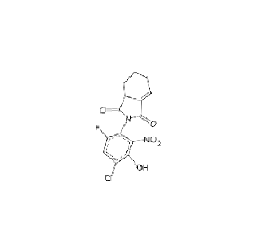 O=C1C2=CCCCC2C(=O)N1c1c(F)cc(Cl)c(O)c1[N+](=O)[O-]